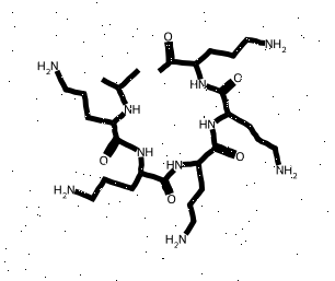 CC(=O)C(CCCN)NC(=O)C(CCCN)NC(=O)C(CCCN)NC(=O)C(CCCN)NC(=O)C(CCCN)NC(C)C